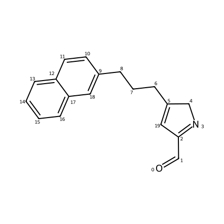 O=CC1=NCC(CCCc2ccc3ccccc3c2)=C1